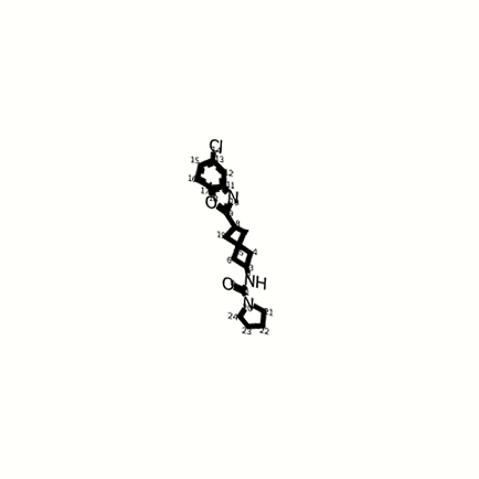 O=C(NC1CC2(C1)CC(c1nc3cc(Cl)ccc3o1)C2)N1CCCC1